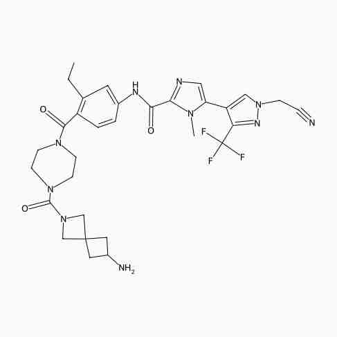 CCc1cc(NC(=O)c2ncc(-c3cn(CC#N)nc3C(F)(F)F)n2C)ccc1C(=O)N1CCN(C(=O)N2CC3(CC(N)C3)C2)CC1